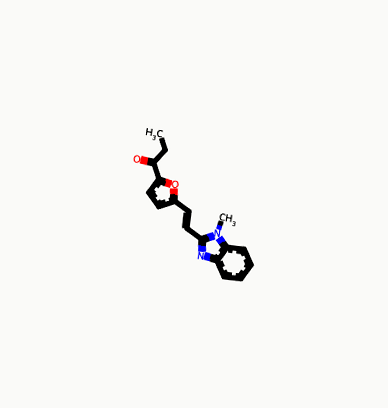 CCC(=O)c1ccc(/C=C/c2nc3ccccc3n2C)o1